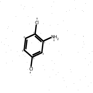 Nc1cc(Cl)[c]cc1Cl